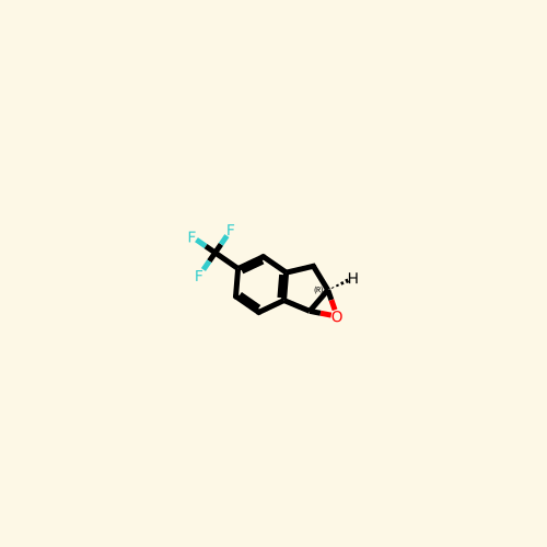 FC(F)(F)c1ccc2c(c1)C[C@H]1OC21